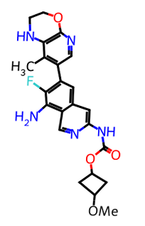 COC1CC(OC(=O)Nc2cc3cc(-c4cnc5c(c4C)NCCO5)c(F)c(N)c3cn2)C1